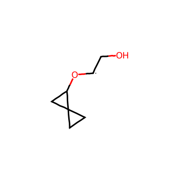 OC[CH]OC1CC12CC2